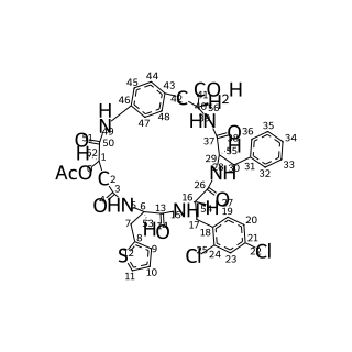 CC(=O)O[C@@H]1CC(=O)N[C@H](Cc2cccs2)C(=O)N[C@@H](Cc2ccc(Cl)cc2Cl)C(=O)N[C@H](Cc2ccccc2)C(=O)N[C@@H](C(=O)O)Cc2ccc(cc2)NC1=O